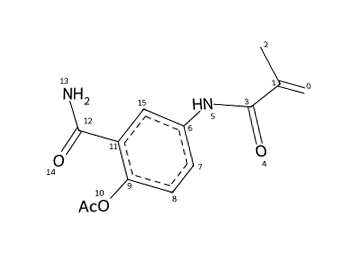 C=C(C)C(=O)Nc1ccc(OC(C)=O)c(C(N)=O)c1